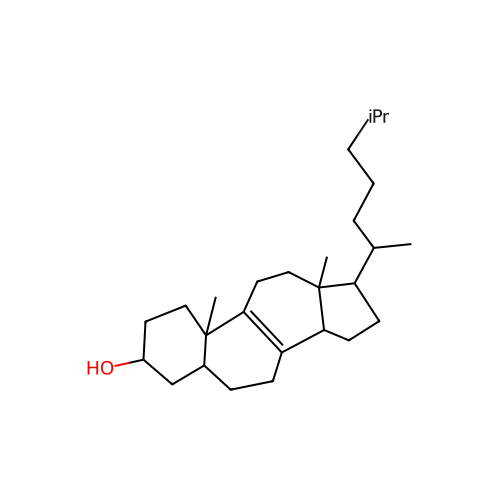 CC(C)CCCC(C)C1CCC2C3=C(CCC21C)C1(C)CCC(O)CC1CC3